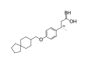 B=C(O)C[C@H](C)c1ccc(OCC2CCC3(CCCC3)CC2)cc1